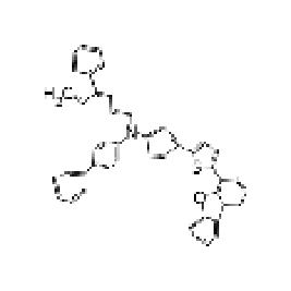 C=C/C(=C\C=C\N(c1ccc(-c2ccccc2)cc1)c1ccc(-c2ccc(-c3cccc4c3oc3ccccc34)s2)cc1)c1ccccc1